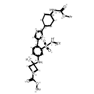 CCNS(=O)(=O)c1cc(NC2(C)CN(C(=O)OC(C)(C)C)C2)ccc1-c1cnc(C2CCC(NC(=O)OC(C)C)CC2)s1